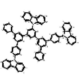 c1ccc(-c2cc(-c3ccc(-n4c5ccccc5c5ccccc54)cc3)cc(-c3cc(-c4cc(-c5ccccc5)cc(-c5ccc(-n6c7ccccc7c7ccccc76)cc5)c4)cc(-n4c5ccccc5c5ccccc54)c3)c2)cc1